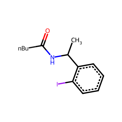 CCCCC(=O)NC(C)c1ccccc1I